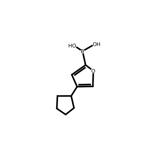 OB(O)c1cc(C2CCCC2)co1